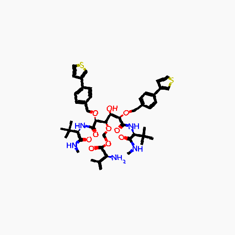 CNC(=O)[C@@H](NC(=O)[C@H](OCc1ccc(-c2ccsc2)cc1)[C@H](O)[C@@H](OCOC(=O)[C@@H](N)C(C)C)[C@@H](OCc1ccc(-c2ccsc2)cc1)C(=O)N[C@H](C(=O)NC)C(C)(C)C)C(C)(C)C